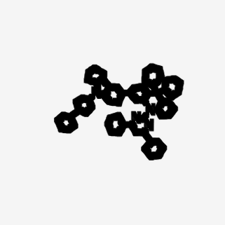 c1ccc(-c2ccc(-n3c4ccccc4c4cc(-c5ccc6c(c5)N(c5nc(-c7ccccc7)cc(-c7ccccc7)n5)c5ccccc5C6(c5ccccc5)c5ccccc5)ccc43)cc2)cc1